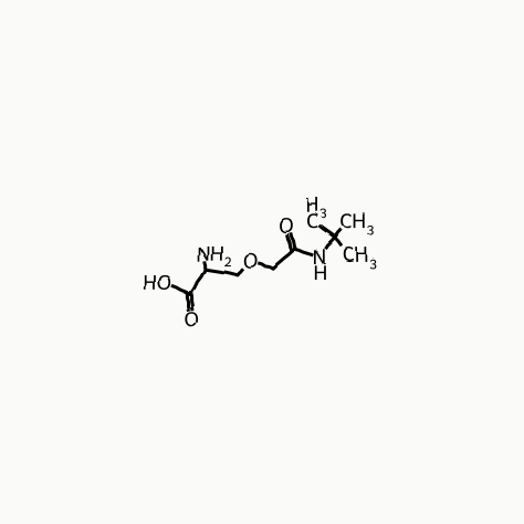 CC(C)(C)NC(=O)COCC(N)C(=O)O